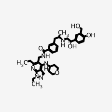 CCc1nc2c(cnn2CC)c(NC2CCOCC2)c1CNC(=O)c1cccc(CC(C)NC[C@@H](O)c2ccc(O)c(CO)c2)c1